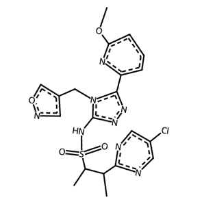 COc1cccc(-c2nnc(NS(=O)(=O)C(C)C(C)c3ncc(Cl)cn3)n2Cc2cnoc2)n1